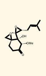 CO[C@@H]1C(=O)CC[C@]2(CO2)[C@@]1(O)[C@@]1(C)O[C@@H]1CC=C(C)C